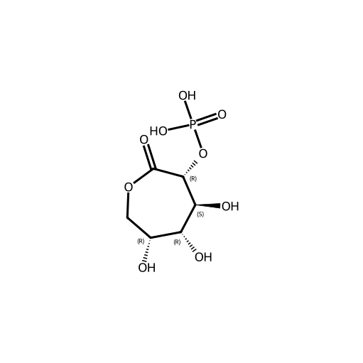 O=C1OC[C@@H](O)[C@@H](O)[C@H](O)[C@H]1OP(=O)(O)O